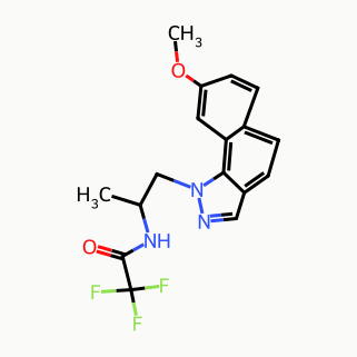 COc1ccc2ccc3cnn(CC(C)NC(=O)C(F)(F)F)c3c2c1